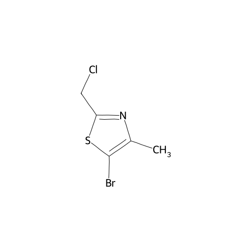 Cc1nc(CCl)sc1Br